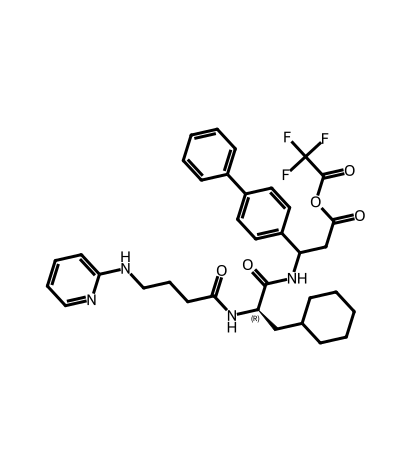 O=C(CCCNc1ccccn1)N[C@H](CC1CCCCC1)C(=O)NC(CC(=O)OC(=O)C(F)(F)F)c1ccc(-c2ccccc2)cc1